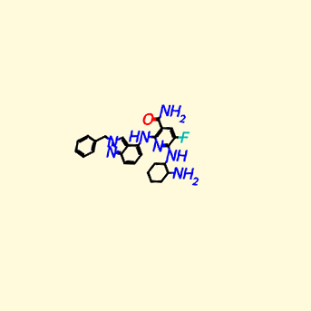 NC(=O)c1cc(F)c(N[C@@H]2CCCC[C@@H]2N)nc1Nc1cccc2nn(Cc3ccccc3)cc12